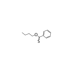 CCCCOC(=S)c1ccccc1